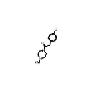 CC(C)(C)N1CCN(C(=O)Cc2ccc(Cl)cc2)CC1